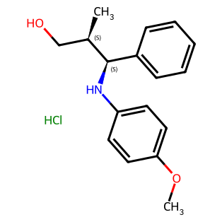 COc1ccc(N[C@H](c2ccccc2)[C@H](C)CO)cc1.Cl